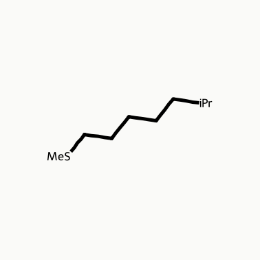 CSCCCCCC(C)C